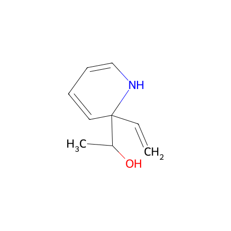 C=CC1(C(C)O)C=CC=CN1